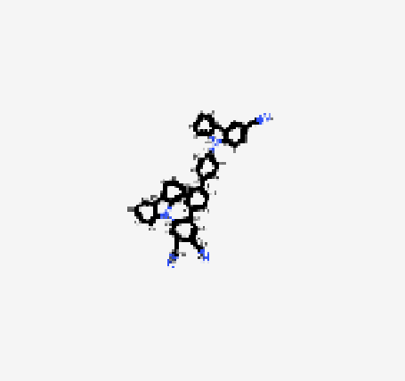 N#Cc1ccc2c(c1)c1ccccc1n2-c1ccc(-c2ccc(-c3cc(C#N)c(C#N)cc3-n3c4ccccc4c4ccccc43)cc2)cc1